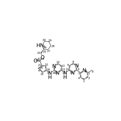 Cc1cccc(-c2nccc(Nc3ccnc(Nc4csc(C(=O)OC[C@@H]5CCCCN5)c4)n3)n2)n1